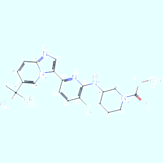 CC(C)(C)OC(=O)N1CCCC(Nc2nc(-c3cnc4ccc(C(C)(O)C(F)(F)F)cn34)ccc2F)C1